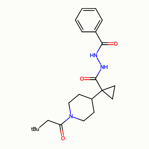 CC(C)(C)CC(=O)N1CCC(C2(C(=O)NNC(=O)c3ccccc3)CC2)CC1